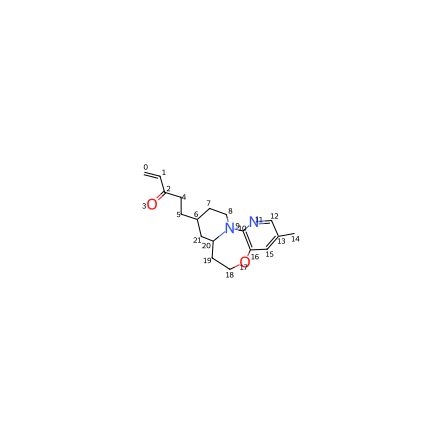 C=CC(=O)CCC1CCN2c3ncc(C)cc3OCCC2C1